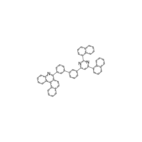 c1cc(-c2cccc(-c3nc4ccccc4c4c3ccc3ccccc34)c2)cc(-c2cc(-c3cccc4ccccc34)nc(-c3cccc4ccccc34)n2)c1